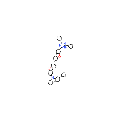 C1=CC(C2=NC(c3ccc4c(c3)oc3cc(C5=CCC6C(=C5)Oc5ccc(-n7c8ccccc8c8ccc(-c9ccccc9)cc87)cc56)ccc34)NC(c3ccccc3)=N2)=CCC1